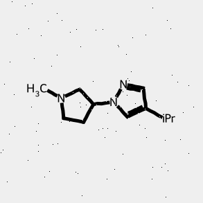 CC(C)c1cnn(C2CCN(C)C2)c1